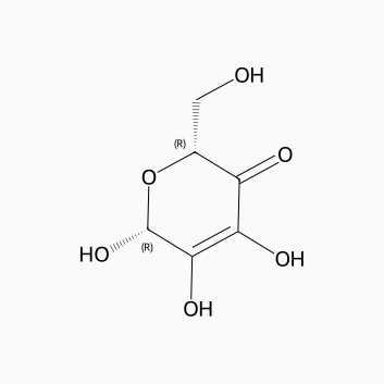 O=C1C(O)=C(O)[C@H](O)O[C@@H]1CO